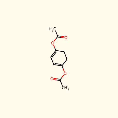 CC(=O)OC1=CC=C(OC(C)=O)CC1